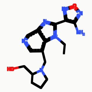 CCn1c(-c2nonc2N)nc2cncc(CN3CCCC3CO)c21